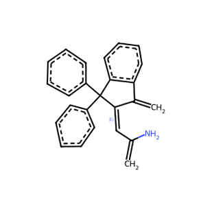 C=C(N)/C=C1\C(=C)c2ccccc2C1(c1ccccc1)c1ccccc1